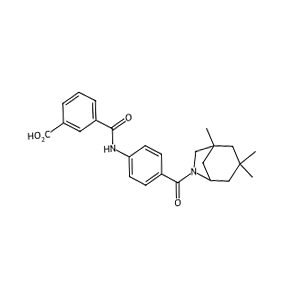 CC1(C)CC2CC(C)(CN2C(=O)c2ccc(NC(=O)c3cccc(C(=O)O)c3)cc2)C1